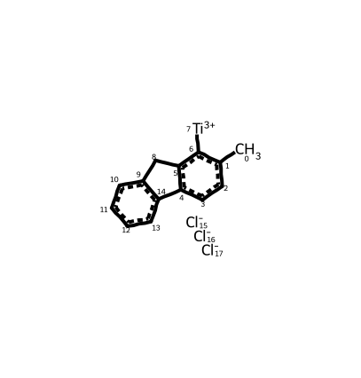 Cc1ccc2c([c]1[Ti+3])Cc1ccccc1-2.[Cl-].[Cl-].[Cl-]